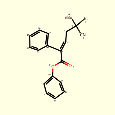 CCCCC(C#N)(CC)CC=C(C(=O)Oc1ccccc1)c1ccccc1